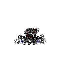 O=C1C(=O)c2ccccc2/C1=C/c1cc2c(s1)-c1sc3c(c1C2(C(=O)OCc1ccccc1)C(=O)OCc1ccccc1)C(C(=O)OCc1ccccc1)(C(=O)OCc1ccccc1)c1cc(/C=C2\C(=O)C(=O)c4ccccc42)sc1-3